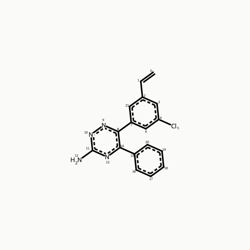 C=Cc1cc(Cl)cc(-c2nnc(N)nc2-c2ccccc2)c1